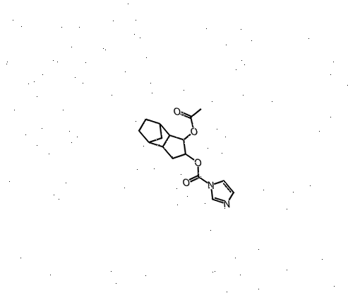 CC(=O)OC1C(OC(=O)n2ccnc2)CC2C3CCC(C3)C21